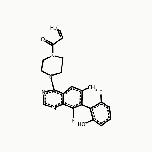 C=CC(=O)N1CCN(c2ncnc3c(F)c(-c4c(O)cccc4F)c(C)cc23)CC1